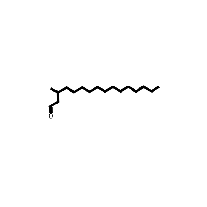 CCCCCCCCCCCCCC(C)C[C]=O